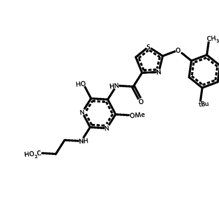 COc1nc(NCCC(=O)O)nc(O)c1NC(=O)c1csc(Oc2cc(C(C)(C)C)ccc2C)n1